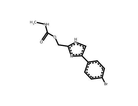 CNC(=O)OCc1nc(-c2ccc(Br)cc2)c[nH]1